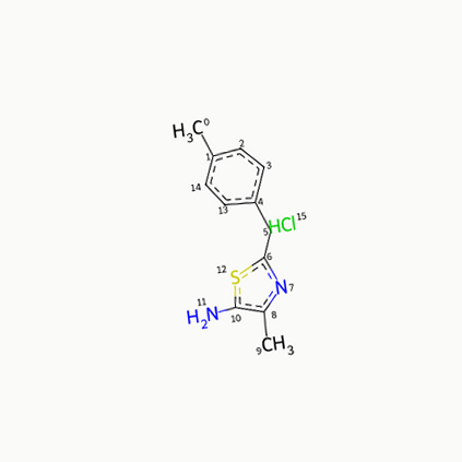 Cc1ccc(Cc2nc(C)c(N)s2)cc1.Cl